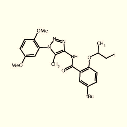 COc1ccc(OC)c(-n2nnc(NC(=O)c3cc(C(C)(C)C)ccc3OC(C)CI)c2C)c1